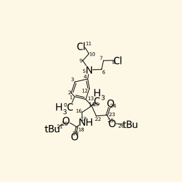 Cc1ccc(N(CCCl)CCCl)cc1C(C)(CNC(=O)OC(C)(C)C)CC(=O)OC(C)(C)C